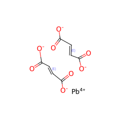 O=C([O-])/C=C/C(=O)[O-].O=C([O-])/C=C/C(=O)[O-].[Pb+4]